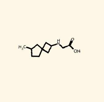 CC1CCC2(C1)CC(NCC(=O)O)C2